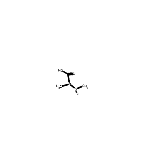 C[SiH2]N(C)C(=O)O